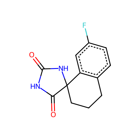 O=C1NC(=O)C2(CCCc3ccc(F)cc32)N1